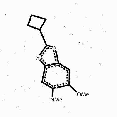 CNc1cc2sc(C3CCC3)nc2cc1OC